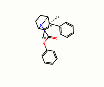 O=C(O)C1=C[C@H](c2ccccc2)C2CCC1N(C(=O)Oc1ccccc1)C2